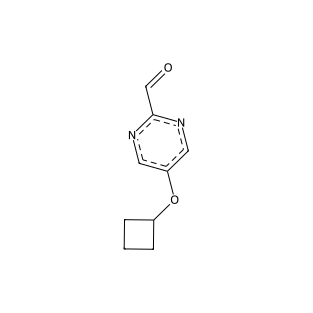 O=Cc1ncc(OC2CCC2)cn1